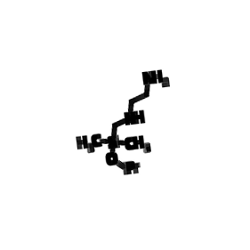 CC(C)O[Si](C)(C)CNCCN